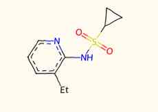 CCc1cccnc1NS(=O)(=O)C1CC1